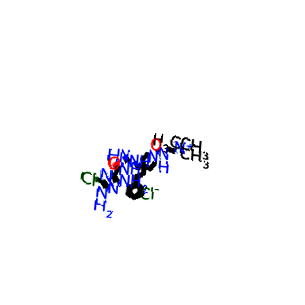 C[N+](C)(C)CCNC(=O)N1CCC(CCc2ccccc2)(CNC(=N)NC(=O)c2nc(Cl)c(N)nc2N)CC1.[Cl-]